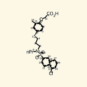 CCCN(CCCSc1ccc(OCC(=O)O)c(C)c1)S(=O)(=O)c1ccc2c(Cl)cccc2c1